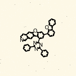 c1ccc(-c2nc(-c3ccccc3)nc(-c3cc(-c4cccc5c4oc4ccccc45)cc4oc5cc6ccncc6cc5c34)n2)cc1